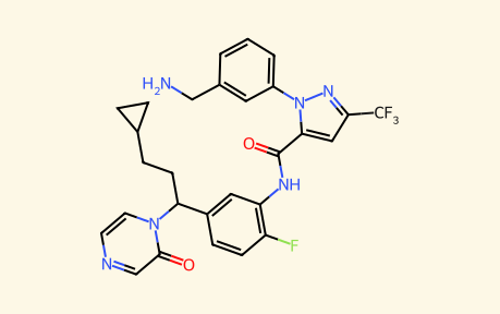 NCc1cccc(-n2nc(C(F)(F)F)cc2C(=O)Nc2cc(C(CCC3CC3)n3ccncc3=O)ccc2F)c1